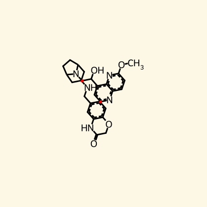 COc1ccc2nccc(C(O)CN3C4CCC3CC(NCc3ccc5c(c3)NC(=O)CO5)C4)c2n1